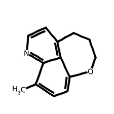 Cc1ccc2c3c(ccnc13)CCCO2